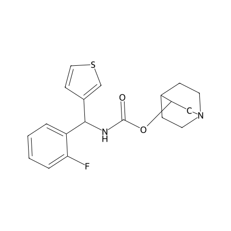 O=C(NC(c1ccsc1)c1ccccc1F)OC1CN2CCC1CC2